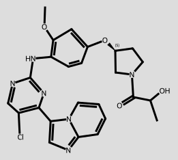 COc1cc(O[C@H]2CCN(C(=O)C(C)O)C2)ccc1Nc1ncc(Cl)c(-c2cnc3ccccn23)n1